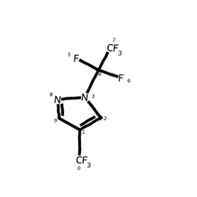 FC(F)(F)c1[c]n(C(F)(F)C(F)(F)F)nc1